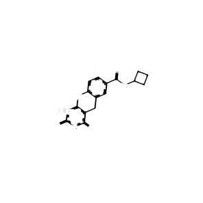 O=C(NC1CCC1)c1ccc2c(c1)Cc1c([nH]c(=S)[nH]c1=O)O2